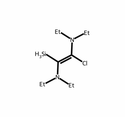 CCN(CC)C([SiH3])=C(Cl)N(CC)CC